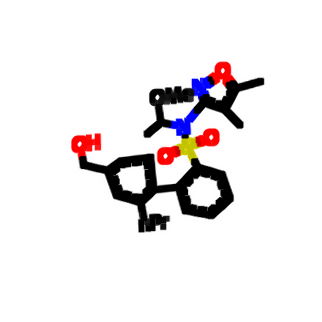 CCCc1cc(CO)ccc1-c1ccccc1S(=O)(=O)N(c1noc(C)c1C)C(C)OC